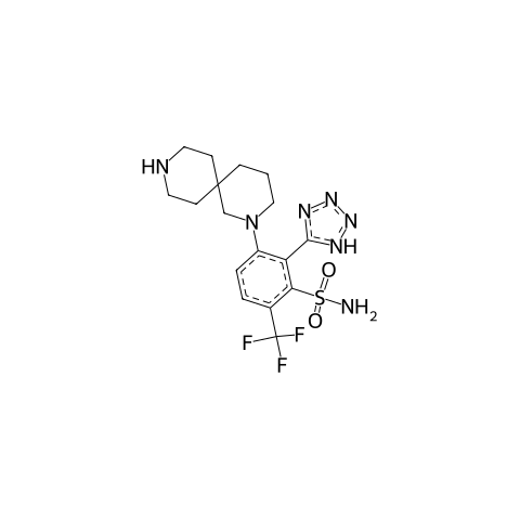 NS(=O)(=O)c1c(C(F)(F)F)ccc(N2CCCC3(CCNCC3)C2)c1-c1nnn[nH]1